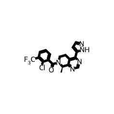 C[C@@H]1c2ncnc(-c3ccn[nH]3)c2CCN1C(=O)c1cccc(C(F)(F)F)c1Cl